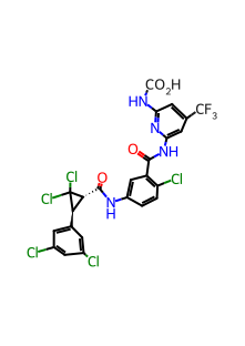 O=C(O)Nc1cc(C(F)(F)F)cc(NC(=O)c2cc(NC(=O)[C@@H]3[C@@H](c4cc(Cl)cc(Cl)c4)C3(Cl)Cl)ccc2Cl)n1